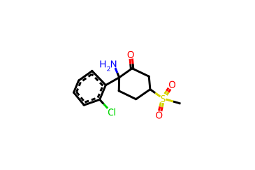 CS(=O)(=O)C1CCC(N)(c2ccccc2Cl)C(=O)C1